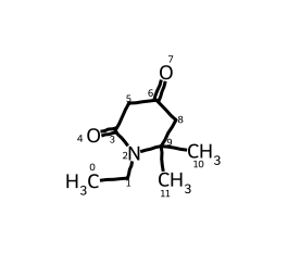 CCN1C(=O)CC(=O)CC1(C)C